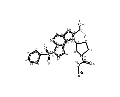 C[C@@H](O)c1nc2cnc3c(cnn3S(=O)(=O)c3ccccc3)c2n1C1CCN(C(=O)OC(C)(C)C)C1